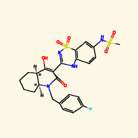 CS(=O)(=O)Nc1ccc2c(c1)S(=O)(=O)N=C(C1=C(O)[C@@H]3CCCC[C@@H]3N(Cc3ccc(F)cc3)C1=O)N2